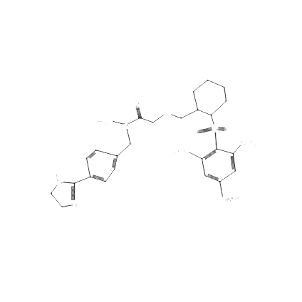 COc1cc(C)c(S(=O)(=O)C2CCCCC2COCC(=O)N(C)Cc2ccc(C3=NCCN3)cc2)c(C)c1